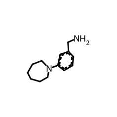 NCc1cccc(N2CCCCCC2)c1